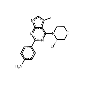 CC[C@H]1COCCN1c1nc(-c2ccc(N)cc2)nc2ncn(C)c12